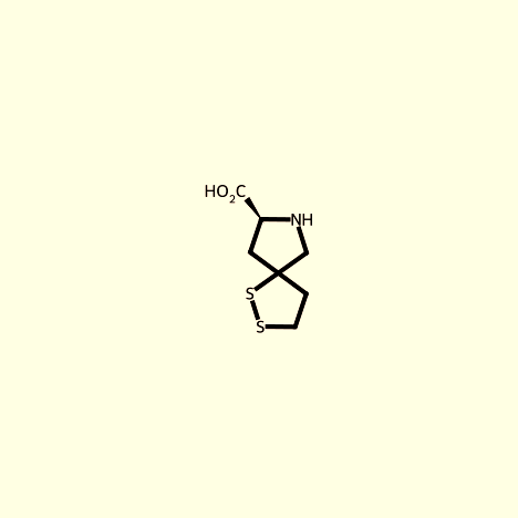 O=C(O)[C@@H]1CC2(CCSS2)CN1